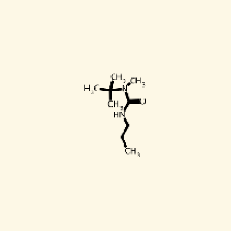 CCCNC(=O)N(C)C(C)(C)C